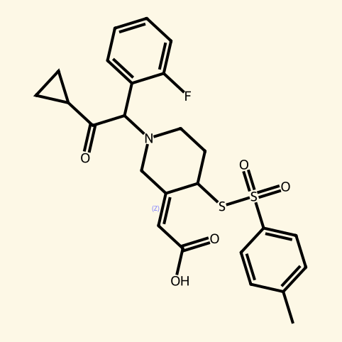 Cc1ccc(S(=O)(=O)SC2CCN(C(C(=O)C3CC3)c3ccccc3F)C/C2=C/C(=O)O)cc1